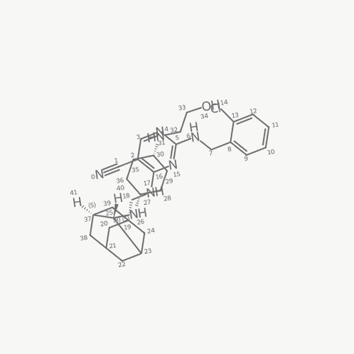 N#Cc1cnc(NCc2ccccc2Cl)nc1NC[C@@]12CC3CC(C1)[C@@H](N[C@H]1CC[C@@H](NCCO)CC1)[C@@H](C3)C2